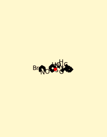 O=C(O)C1C2C=CC(C2)C1C(=O)Nc1nc2ccc(Oc3ccc(Br)cn3)cc2s1